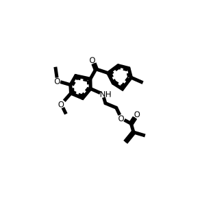 C=C(C)C(=O)OCCNc1cc(OC)c(OC)cc1C(=O)c1ccc(C)cc1